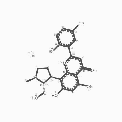 CN1CC[C@@H](c2c(O)cc(O)c3c(=O)cc(-c4cc(F)ccc4Br)oc23)[C@@H]1CO.Cl